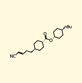 CCCC[C@H]1CC[C@H](OC(=O)[C@H]2CC[C@H](CCC=CC#N)CC2)CC1